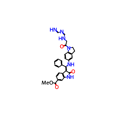 COC(=O)c1ccc2c(c1)NC(=O)/C2=C(\Nc1ccc2c(c1)CCN2C(=O)CN/C=N\C=N)c1ccccc1